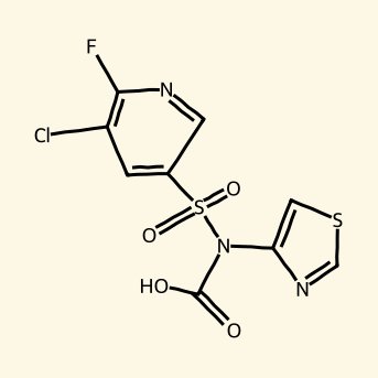 O=C(O)N(c1cscn1)S(=O)(=O)c1cnc(F)c(Cl)c1